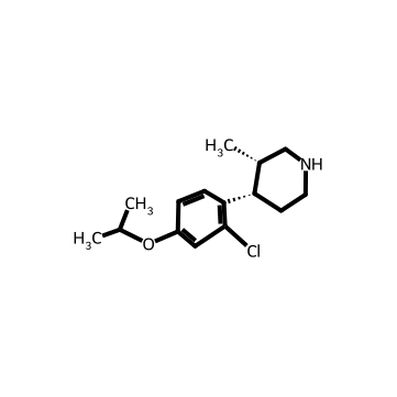 CC(C)Oc1ccc([C@H]2CCNC[C@H]2C)c(Cl)c1